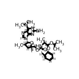 CC(C)OC(=O)[C@H](C)N[P@](=O)(Cc1ccccc1)OC[C@]1(F)C[C@H](C)[C@H](n2cnc3c(N(C)C)nc(N)nc32)O1